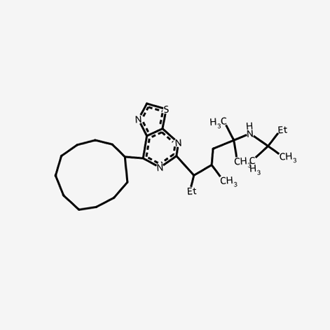 CCC(c1nc(C2CCCCCCCCCC2)c2ncsc2n1)C(C)CC(C)(C)NC(C)(C)CC